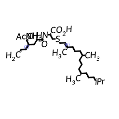 C=C/C=C(\C=C)CC(NC(C)=O)C(=O)NC(CSC/C=C(\C)CCCC(C)CCCC(C)CCCC(C)C)C(=O)O